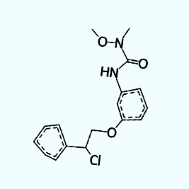 CON(C)C(=O)Nc1cccc(OCC(Cl)c2ccccc2)c1